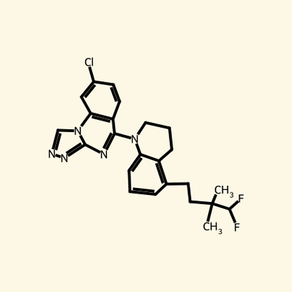 CC(C)(CCc1cccc2c1CCCN2c1nc2nncn2c2cc(Cl)ccc12)C(F)F